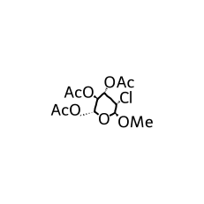 CO[C@H]1O[C@H](COC(C)=O)[C@@H](OC(C)=O)[C@H](OC(C)=O)[C@@H]1Cl